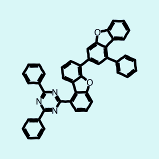 c1ccc(-c2nc(-c3ccccc3)nc(-c3cccc4oc5c(-c6cc(-c7ccccc7)c7c(c6)oc6ccccc67)cccc5c34)n2)cc1